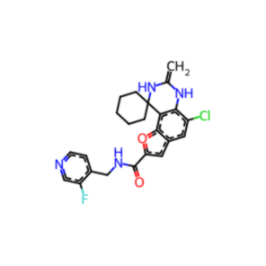 C=C1Nc2c(Cl)cc3cc(C(=O)NCc4ccncc4F)oc3c2C2(CCCCC2)N1